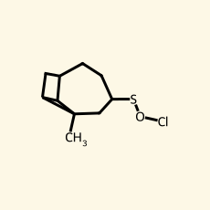 CC12CC(SOCl)CCC3CC1C32